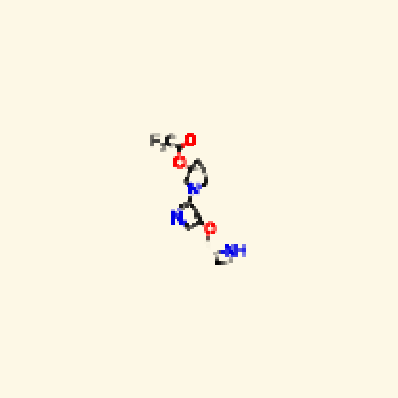 O=C(OC12CC1CN(c1cncc(OC[C@H]3CCN3)c1)C2)C(F)(F)F